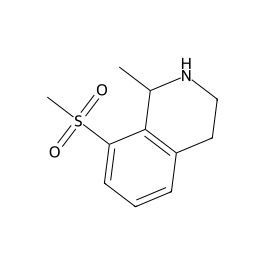 CC1NCCc2cccc(S(C)(=O)=O)c21